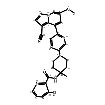 COc1cc(-c2cnc(N3CCC(C)(NC(=O)c4ncccc4Cl)CC3)cn2)c2c(C#N)cnn2c1